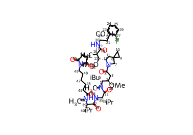 CC[C@H](C)C([C@@H](CC(=O)N1CC2(CC2)C[C@H]1C(OC)C(C)C(=O)N[C@@H](Cc1ccccc1F)C(=O)O)OC)N(C)C(=O)[C@@H](NC(=O)C(C(C)C)N(C)C(=O)CCCCCN1C(=O)C=CC1=O)C(C)C